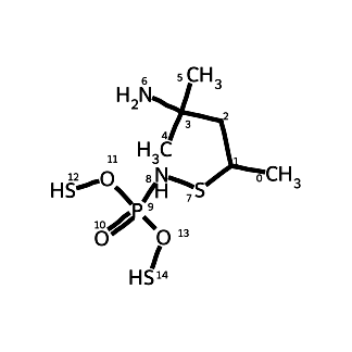 CC(CC(C)(C)N)SNP(=O)(OS)OS